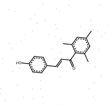 Cc1cc(C)c(C(=O)/C=C/c2ccc(O)cc2)c(C)c1